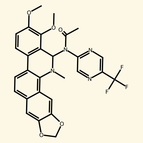 COc1ccc2c(c1OC)C(N(C(C)=O)c1cnc(C(F)(F)F)cn1)N(C)c1c-2ccc2cc3c(cc12)OCO3